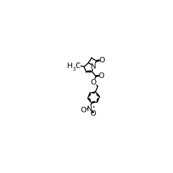 CC1C=C(C(=O)OCc2ccc([N+](=O)[O-])cc2)N2C(=O)CC12